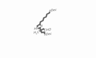 CCCCCCCCCCCCCCCCC1CNC(C(C)(CC=O)CCCCCCCCCCCC)=N1